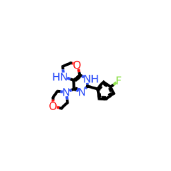 Fc1cccc(C2N=C(N3CCOCC3)C3=C(N2)OCCN3)c1